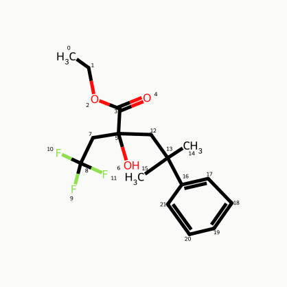 CCOC(=O)C(O)(CC(F)(F)F)CC(C)(C)c1ccccc1